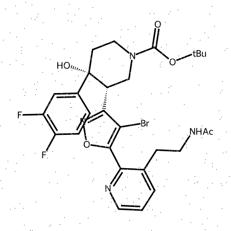 CC(=O)NCCc1cccnc1-c1onc([C@H]2CN(C(=O)OC(C)(C)C)CC[C@]2(O)c2ccc(F)c(F)c2)c1Br